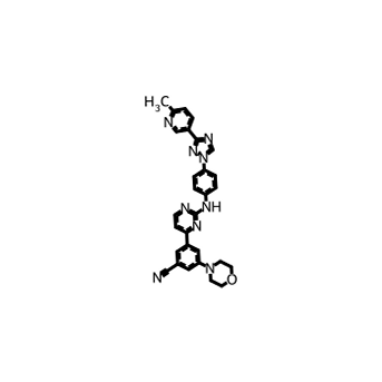 Cc1ccc(-c2ncn(-c3ccc(Nc4nccc(-c5cc(C#N)cc(N6CCOCC6)c5)n4)cc3)n2)cn1